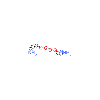 Nc1ccc2ccc(OCCOCCOCCOCCOc3ccc4ccc(N)nc4c3)cc2n1